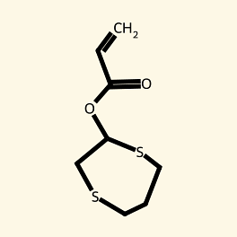 C=CC(=O)OC1CSCCCS1